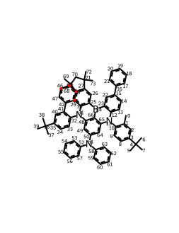 Cc1cc(C(C)(C)C)ccc1N1c2ccc(-c3ccccc3)cc2B2c3cc4c(cc3N(c3ccc(C(C)(C)C)cc3-c3ccccc3)c3cc(N(c5ccccc5)c5ccccc5)cc1c32)C(C)(C)CC4(C)C